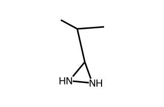 CC(C)C1NN1